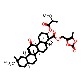 CO[C@@H](C)C(=O)O[C@H]1CC[C@@]2(C)[C@@H](CC[C@]3(C)[C@@H]2C(=O)C=C2[C@@H]4C[C@@](C)(C(=O)O)CC[C@]4(C)CC[C@]23C)[C@]1(C)C(=O)OCc1oc(=O)oc1C